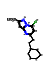 CCOC(=O)c1cc2nc(CCC3CCCCC3)cc(Cl)n2n1